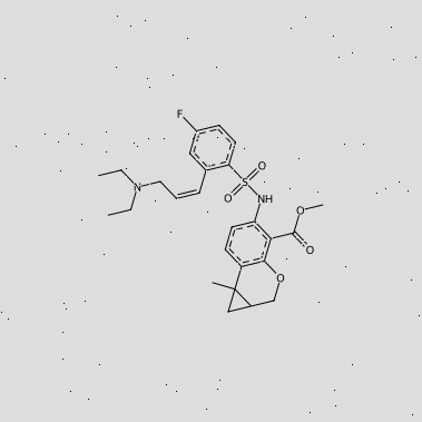 CCN(CC)C/C=C\c1cc(F)ccc1S(=O)(=O)Nc1ccc2c(c1C(=O)OC)OCC1CC21C